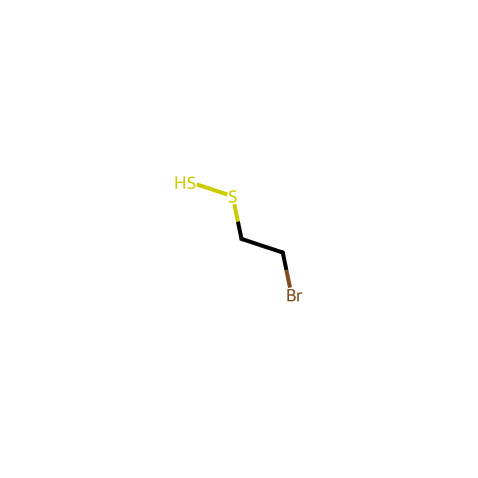 SSCCBr